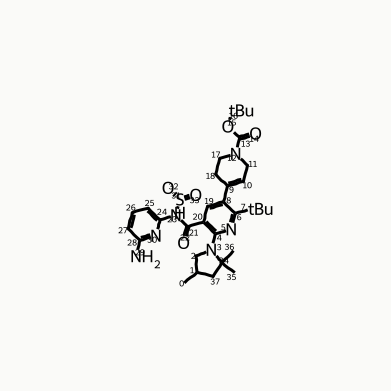 CC1CN(c2nc(C(C)(C)C)c(C3=CCN(C(=O)OC(C)(C)C)CC3)cc2C(=O)N(c2cccc(N)n2)[SH](=O)=O)C(C)(C)C1